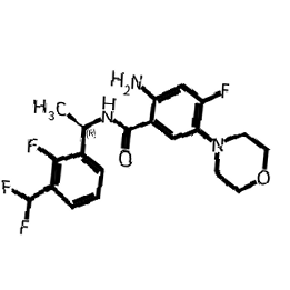 C[C@@H](NC(=O)c1cc(N2CCOCC2)c(F)cc1N)c1cccc(C(F)F)c1F